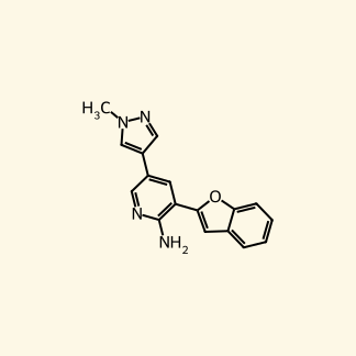 Cn1cc(-c2cnc(N)c(-c3cc4ccccc4o3)c2)cn1